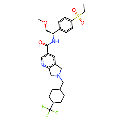 CCS(=O)(=O)c1ccc([C@H](COC)NC(=O)c2cnc3c(c2)CN(CC2CCC(C(F)(F)F)CC2)C3)cc1